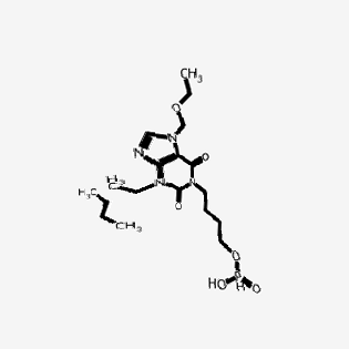 CCCC.CCOCn1cnc2c1c(=O)n(CCCCO[PH](=O)O)c(=O)n2CC